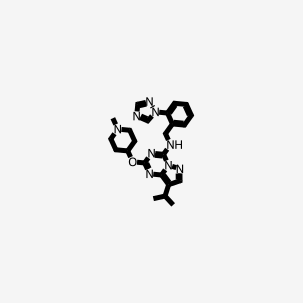 CC(C)c1cnn2c(NCc3ccccc3-n3cncn3)nc(OC3CCN(C)CC3)nc12